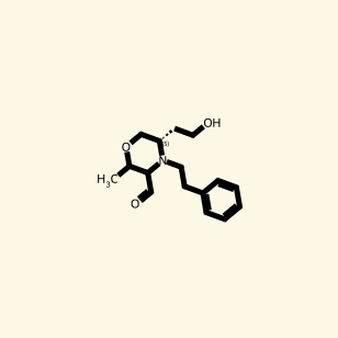 CC1OC[C@H](CCO)N(CCc2ccccc2)C1C=O